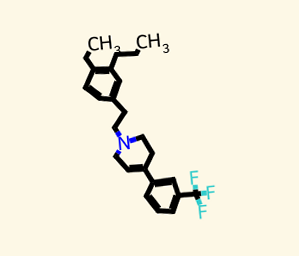 CCCc1cc(CCN2CC=C(c3cccc(C(F)(F)F)c3)CC2)ccc1CC